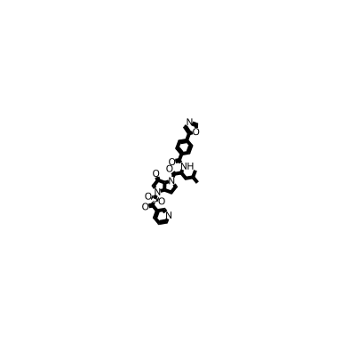 CC(C)CC(NC(=O)c1ccc(-c2cnco2)cc1)C(=O)N1CCC2C1C(=O)CN2S(=O)(=O)C(=O)c1cccnc1